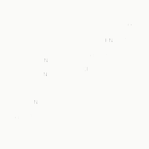 Cn1ccc(CN2C(=O)CCc3cc(-c4cccc(C5CCC(=O)NC5=O)c4Cl)ccc32)n1